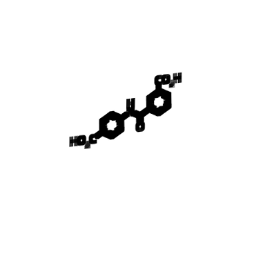 O=C(O)c1ccc(NC(=O)c2cccc(C(=O)O)c2)cc1